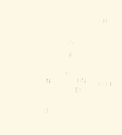 C=C[C@@H]1C[C@@]1(NC(=O)O)P(=O)(Cc1cccc(Cl)n1)OCC